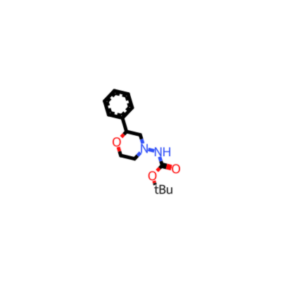 CC(C)(C)OC(=O)NN1CCOC(c2ccccc2)C1